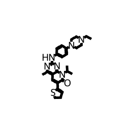 CCN1CCN(c2ccc(Nc3nc(C)c4cc(C5=CCCS5)c(=O)n(C(C)C)c4n3)cc2)CC1